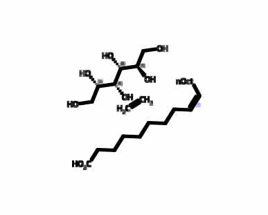 C=C.CCCCCCCC/C=C\CCCCCCCC(=O)O.OC[C@@H](O)[C@@H](O)[C@H](O)[C@@H](O)CO